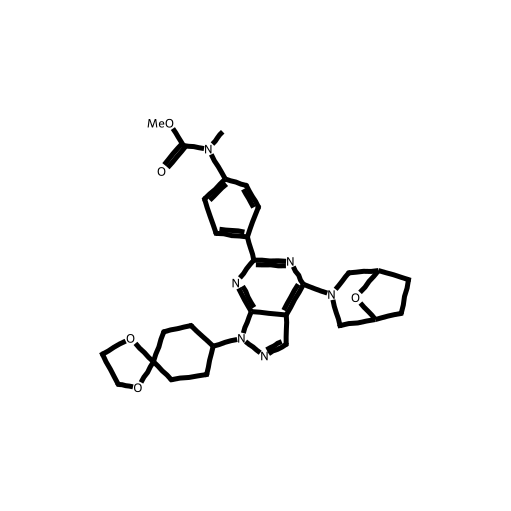 COC(=O)N(C)c1ccc(-c2nc(N3CC4CCC(C3)O4)c3cnn(C4CCC5(CC4)OCCO5)c3n2)cc1